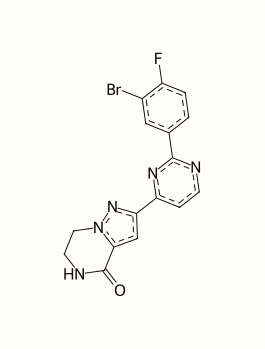 O=C1NCCn2nc(-c3ccnc(-c4ccc(F)c(Br)c4)n3)cc21